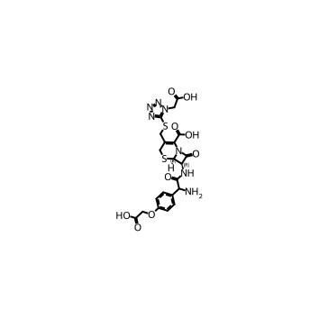 NC(C(=O)N[C@@H]1C(=O)N2C(C(=O)O)=C(CSc3nnnn3CC(=O)O)CS[C@H]12)c1ccc(OCC(=O)O)cc1